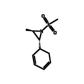 C[C@@H]1[C@@H](C2C=CC=CC2)N1S(C)(=O)=O